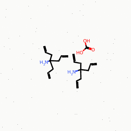 C=CCC(N)(CC=C)CC=C.C=CCC(N)(CC=C)CC=C.O=C(O)O